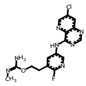 C/N=C(/N)OCCc1cc(Nc2ncnc3cc(Cl)cnc23)cnc1F